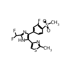 Cc1nc(-c2[nH]c(C(F)F)nc2-c2ccc(S(C)(=O)=O)c(F)c2)cs1